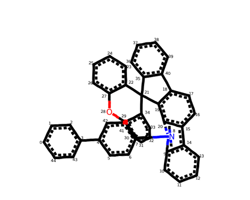 c1ccc(-c2ccc(-n3c4ccccc4c4ccc5c(c43)C3(c4ccccc4Oc4ccccc43)c3ccccc3-5)cc2)cc1